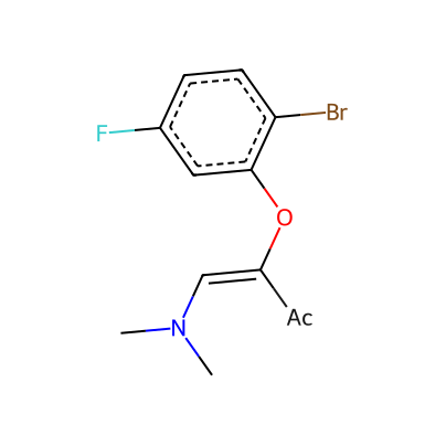 CC(=O)C(=CN(C)C)Oc1cc(F)ccc1Br